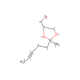 CC#CCCC1(C)OCC(CBr)O1